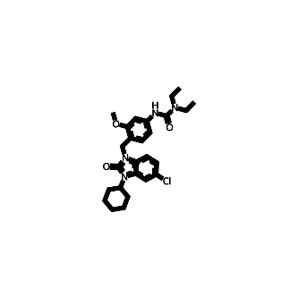 CCN(CC)C(=O)Nc1ccc(Cn2c(=O)n(C3CCCCC3)c3cc(Cl)ccc32)c(OC)c1